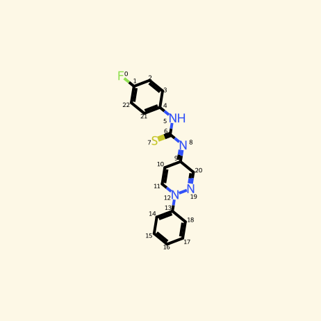 Fc1ccc(NC(=S)/N=c2\ccn(-c3ccccc3)nc2)cc1